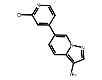 CC(C)(C)c1cnn2cc(-c3ccnc(Cl)c3)ccc12